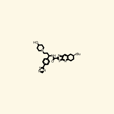 CC(C)(C)[C@H]1CCc2nc3sc(C(=O)NC(CCN4CCC(O)CC4)c4ccc(-c5ncns5)cc4)nc3cc2C1